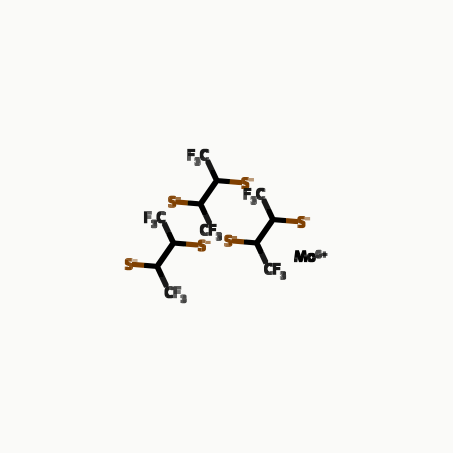 FC(F)(F)C([S-])C([S-])C(F)(F)F.FC(F)(F)C([S-])C([S-])C(F)(F)F.FC(F)(F)C([S-])C([S-])C(F)(F)F.[Mo+6]